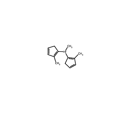 CC1=[C]([Hf]([CH3])[C]2=C(C)C=CC2)CC=C1